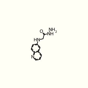 NNC(=O)CNc1ccc2ncccc2c1